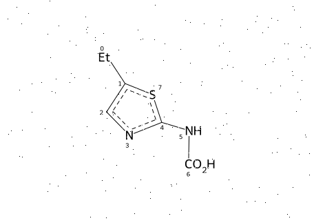 CCc1cnc(NC(=O)O)s1